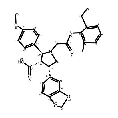 CCc1cccc(C)c1NC(=O)CN1C[C@H](c2ccc3c(c2)OCO3)[C@H](C(=O)O)[C@H]1c1ccc(OC)cc1